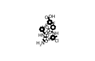 Cc1c(Cl)cccc1NC(=O)[C@H]1CCCC[C@H]1C(=O)O.NC(=O)C[C@H](NC(=O)c1ccccc1)C(=O)O.O=C(O)c1cc(F)cc(F)c1